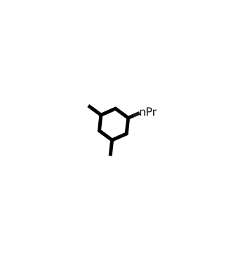 C[CH]CC1CC(C)CC(C)C1